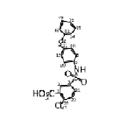 O=C(O)c1cc(S(=O)(=O)Nc2ccc(Sc3ccccc3)cc2)ccc1Cl